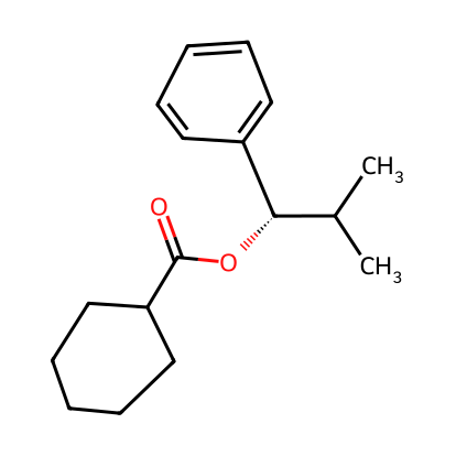 CC(C)[C@H](OC(=O)C1CCCCC1)c1ccccc1